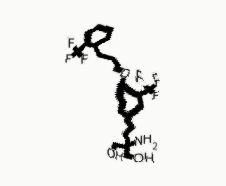 NC(CO)(CO)CCc1ccc(OCCCc2ccccc2C(F)(F)F)c(C(F)(F)F)c1